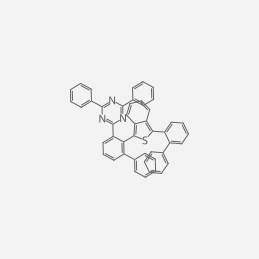 c1ccc(-c2nc(-c3ccccc3)nc(-c3cccc(-c4ccccc4)c3-c3sc(-c4ccccc4-c4ccccc4)c4ccccc34)n2)cc1